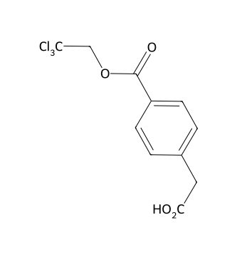 O=C(O)Cc1ccc(C(=O)OCC(Cl)(Cl)Cl)cc1